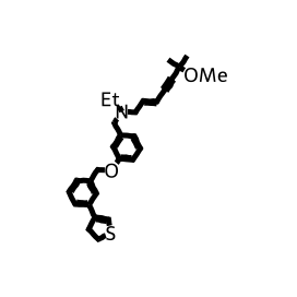 CCN(C/C=C/C#CC(C)(C)OC)Cc1cccc(OCc2cccc(C3=CSCC3)c2)c1